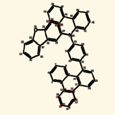 c1ccc(-c2ccccc2-c2c(-c3ccccc3)cccc2-c2ccc(N(c3ccc4oc5ccccc5c4c3)c3ccccc3-c3ccccc3)cc2)cc1